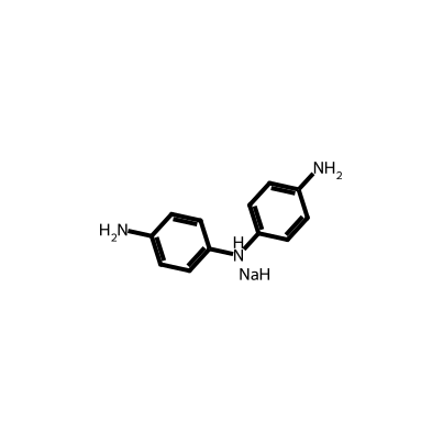 Nc1ccc(Nc2ccc(N)cc2)cc1.[NaH]